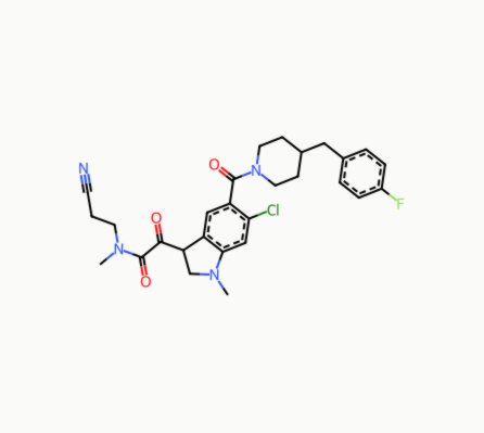 CN(CCC#N)C(=O)C(=O)C1CN(C)c2cc(Cl)c(C(=O)N3CCC(Cc4ccc(F)cc4)CC3)cc21